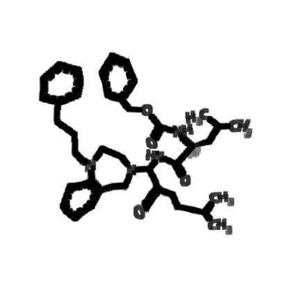 CC(C)CCC(=O)C(NC(=O)[C@H](CC(C)C)NC(=O)OCc1ccccc1)N1CCN(CCCc2ccccc2)c2ccccc2C1